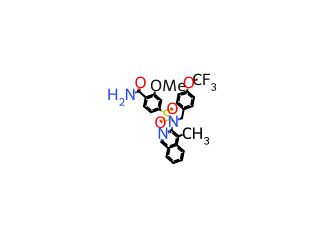 COc1cc(S(=O)(=O)N(Cc2ccc(OC(F)(F)F)cc2)c2ncc3ccccc3c2C)ccc1C(N)=O